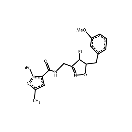 CCC1C(CNC(=O)c2cc(C)nn2C(C)C)=NOC1Cc1cccc(OC)c1